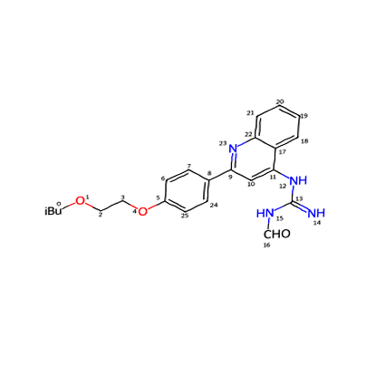 CCC(C)OCCOc1ccc(-c2cc(NC(=N)NC=O)c3ccccc3n2)cc1